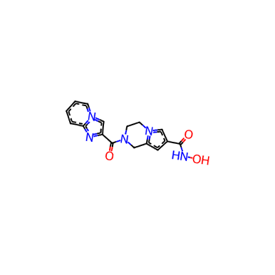 O=C(NO)c1cc2n(c1)CCN(C(=O)c1cn3ccccc3n1)C2